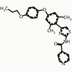 CCCOc1ccc(Oc2cc(C)c(-c3csc(NC(=O)c4ccncc4)n3)c(C)c2)cc1